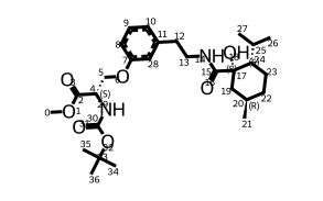 COC(=O)[C@H](COc1cccc(CCNC(=O)[C@]2(O)C[C@H](C)CC[C@H]2C(C)C)c1)NC(=O)OC(C)(C)C